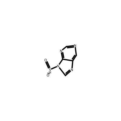 O=[SH](=O)n1cnc2cncnc21